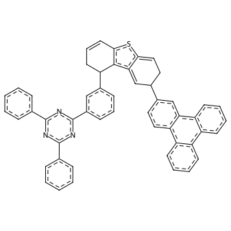 C1=Cc2sc3c(c2C(c2cccc(-c4nc(-c5ccccc5)nc(-c5ccccc5)n4)c2)C1)=CC(c1ccc2c4ccccc4c4ccccc4c2c1)CC=3